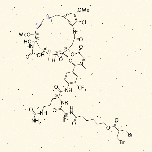 COc1cc2cc(c1Cl)N(C)C(=O)C[C@H](OC(=O)[C@H](C)N(C)C(=O)c1ccc(NC(=O)[C@H](CCCNC(N)=O)NC(=O)[C@@H](NC(=O)CCCCCOC(=O)C(CBr)CBr)C(C)C)c(C(F)(F)F)c1)[C@]1(C)O[C@H]1[C@H](C)[C@@H]1C[C@@](O)(NC(=O)O1)[C@H](OC)/C=C/C=C(\C)C2